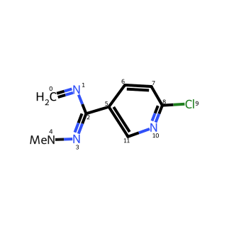 C=N/C(=N\NC)c1ccc(Cl)nc1